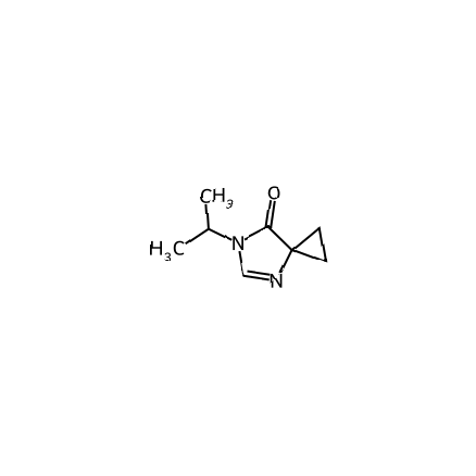 CC(C)N1C=NC2(CC2)C1=O